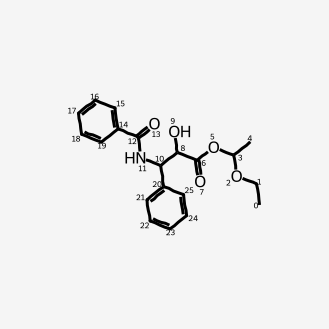 CCOC(C)OC(=O)C(O)C(NC(=O)c1ccccc1)c1ccccc1